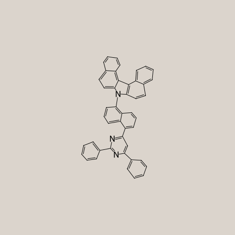 c1ccc(-c2cc(-c3cccc4c(-n5c6ccc7ccccc7c6c6c7ccccc7ccc65)cccc34)nc(-c3ccccc3)n2)cc1